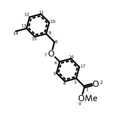 COC(=O)c1ccc(OCc2cccc(C)c2)cc1